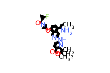 CC[C@H](N)c1ccc(OC2CN(C(=O)[C@H]3C[C@H]3F)C2)c2cnc(Nc3ccc4c(n3)[C@@H](C)C(C)(C)OC4=O)cc12